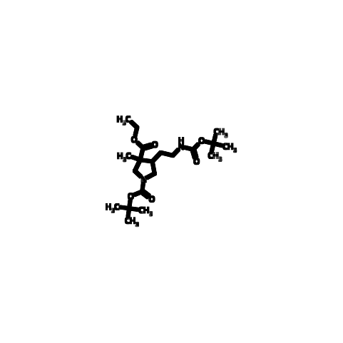 CCOC(=O)C1(C)CN(C(=O)OC(C)(C)C)CC1CCNC(=O)OC(C)(C)C